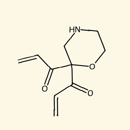 C=CC(=O)C1(C(=O)C=C)CNCCO1